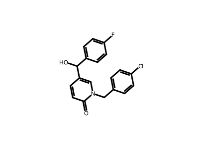 O=c1ccc(C(O)c2ccc(F)cc2)cn1Cc1ccc(Cl)cc1